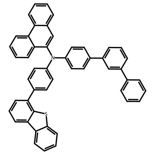 c1ccc(-c2cccc(-c3ccc(N(c4ccc(-c5cccc6c5sc5ccccc56)cc4)c4cc5ccccc5c5ccccc45)cc3)c2)cc1